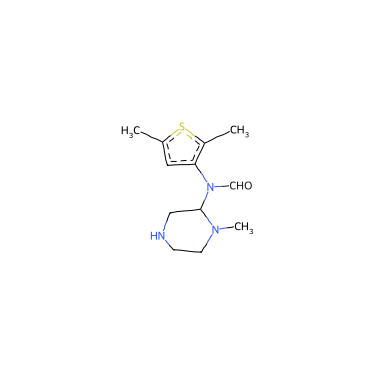 Cc1cc(N(C=O)C2CNCCN2C)c(C)s1